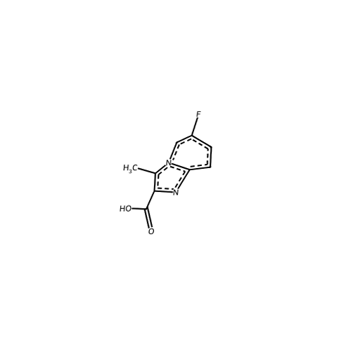 Cc1c(C(=O)O)nc2ccc(F)cn12